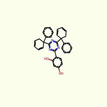 Oc1ccc(-c2nc(C3(c4ccccc4)C=CC=CC3)nc(C3(c4ccccc4)C=CC=CC3)n2)c(O)c1